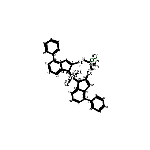 CCC1=Cc2c(-c3ccccc3)cccc2[CH]1[Zr+2]([CH2]C)([CH2]C)[CH]1C(CC)=Cc2c(-c3ccccc3)cccc21.C[SiH2]C.[Cl-].[Cl-]